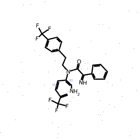 C=C(/C=C\C(=C/N)N(CCc1ccc(C(F)(F)F)cc1)C(=O)C(=N)c1ccccc1)C(F)(F)F